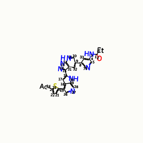 CCC(=O)Nc1cncc(-c2cnc3[nH]nc(-c4cc5c(-c6ccc(C(C)=O)s6)cncc5[nH]4)c3c2)c1